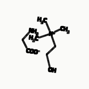 C[N+](C)(C)CCO.NCC(=O)[O-]